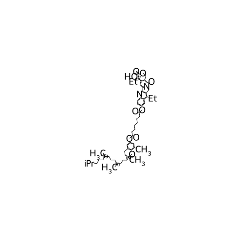 CCc1c2c(nc3ccc(OC(=O)CCCCCCC(=O)Oc4cc(C)c5c(c4)CC[C@@](C)(CCC[C@H](C)CCC[C@H](C)CCCC(C)C)O5)cc13)-c1cc3c(c(=O)n1C2)COC(=O)[C@]3(O)CC